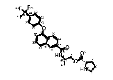 C[C@H](COC(=O)[C@@H]1CCCN1)NC(=O)c1ccc2c(Oc3ccc(C(F)(F)F)cc3)cccc2c1